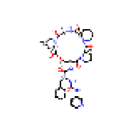 C[C@@H]1C[C@H]2C(=O)O[C@@H](C)[C@H](NC(=O)[C@H](Cc3ccccc3)NC(=O)Nc3cccnc3)C(=O)N3CCC[C@H]3C(=O)N3CCCC[C@H]3C(=O)N[C@@H](C)C(=O)N2C1